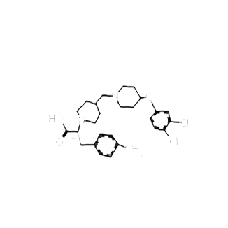 Cc1ccc(C[C@@H](C(=O)O)N2CCC(CN3CCC(Oc4ccc(Cl)c(Cl)c4)CC3)CC2)cc1